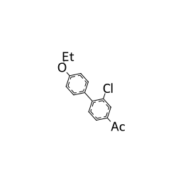 CCOc1ccc(-c2ccc(C(C)=O)cc2Cl)cc1